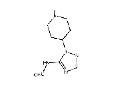 O=CNc1ncnn1C1CCNCC1